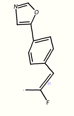 [CH2]/C(F)=C\c1ccc(-c2cnco2)cc1